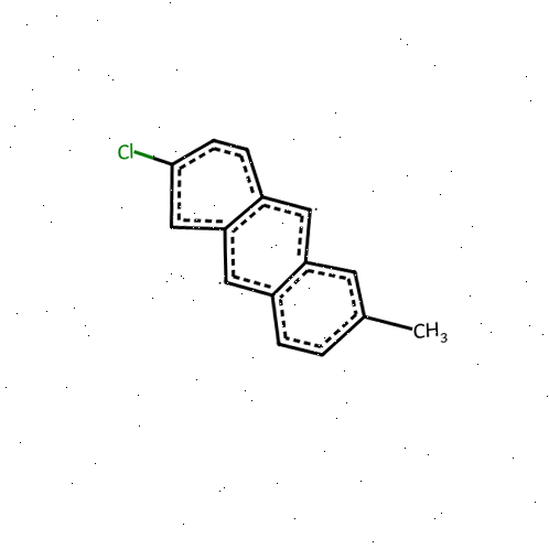 Cc1ccc2[c]c3cc(Cl)ccc3[c]c2c1